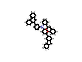 c1cc(-c2cc3ccccc3c3ccccc23)cc(N(c2ccc(-c3ccc4c(c3)-c3ccccc3C4)cc2)c2ccccc2-c2ccc3ccccc3c2)c1